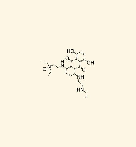 CCNCCNc1ccc(NCC[N+]([O-])(CC)CC)c2c1C(=O)c1c(O)ccc(O)c1C2=O